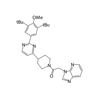 COc1c(C(C)(C)C)cc(-c2nccc(C3CCN(C(=O)Cn4cnc5cccnc54)CC3)n2)cc1C(C)(C)C